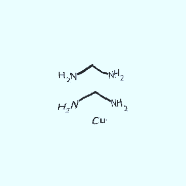 NCN.NCN.[Cu]